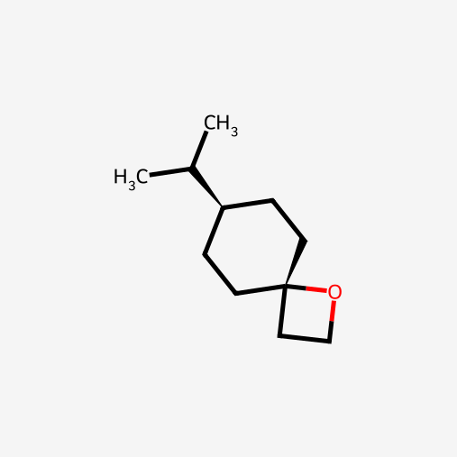 CC(C)[C@H]1CC[C@@]2(CCO2)CC1